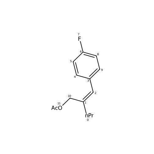 CCCC(=Cc1ccc(F)cc1)COC(C)=O